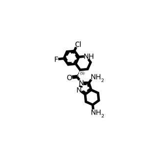 Nc1c2c(nn1C(=O)[C@H]1CCNc3c(Cl)cc(F)cc31)CC(N)CC2